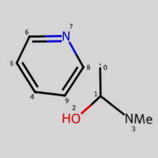 [CH2]C(O)NC.c1ccncc1